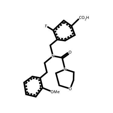 COc1ccccc1CCN(Cc1ccc(C(=O)O)cc1F)C(=O)N1CCOCC1